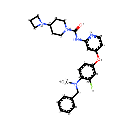 O=C(Nc1cc(Oc2ccc(N(Cc3ccccc3)C(=O)O)c(F)c2)ccn1)N1CCC(N2CCC2)CC1